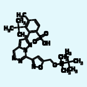 Cc1ccc(S(=O)(=O)O)c(-c2cc3cnnc(-c4cc(CO[Si](C)(C)C(C)(C)C)on4)n3n2)c1C(C)(C)C